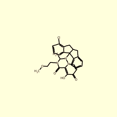 COCCN1C(=O)c2c(O)c(=O)ccn2N(C23c4ccccc4CC2Cc2c(Cl)cccc23)C1C